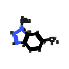 CCCCn1nnc2ccc(C(F)(F)F)cc21